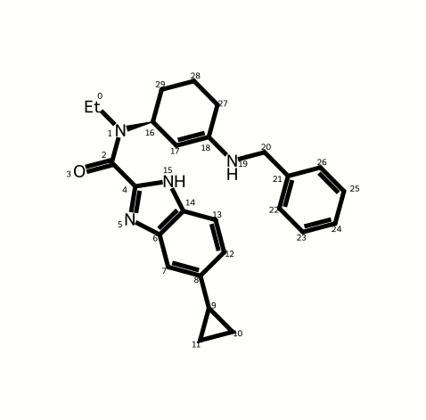 CCN(C(=O)c1nc2cc(C3CC3)ccc2[nH]1)[C@@H]1C=C(NCc2ccccc2)CCC1